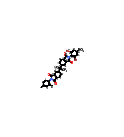 Cc1ccc(N2C(=O)c3ccc(C(c4ccc5c(c4)C(=O)N(c4c(Br)cc([N+](=O)[O-])cc4Br)C5=O)(C(F)(F)F)C(F)(F)F)cc3C2=O)c(C)c1